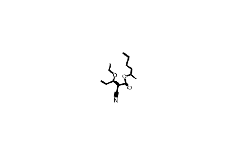 CCCCC(C)OC(=O)C(C#N)=C(CC)OCC